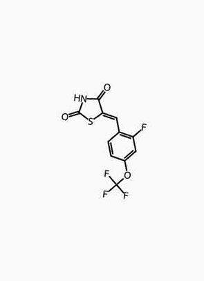 O=C1NC(=O)/C(=C/c2ccc(OC(F)(F)F)cc2F)S1